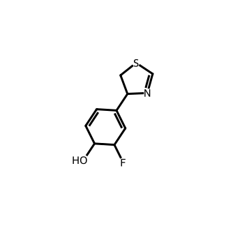 OC1C=CC(C2CSC=N2)=CC1F